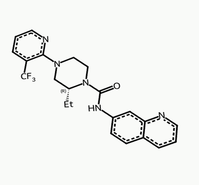 CC[C@@H]1CN(c2ncccc2C(F)(F)F)CCN1C(=O)Nc1ccc2cccnc2c1